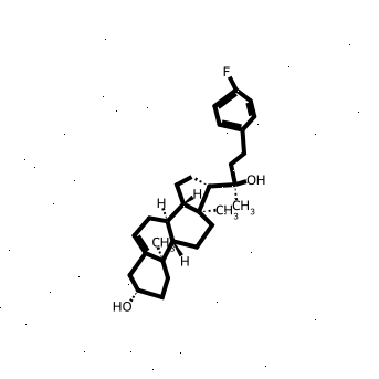 C[C@]12CC[C@H]3[C@@H](CC=C4C[C@@H](O)CC[C@@]43C)[C@@H]1CC[C@@H]2[C@](C)(O)CCc1ccc(F)cc1